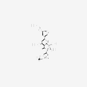 CCOc1cncc(-c2cc(C)c(C(=O)N(OC)c3cnn(CC(F)(F)F)c3)c(CC)n2)c1